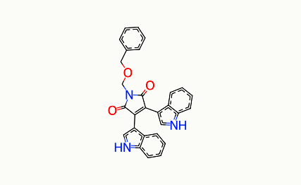 O=C1C(c2c[nH]c3ccccc23)=C(c2c[nH]c3ccccc23)C(=O)N1COCc1ccccc1